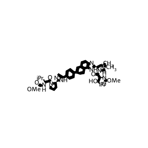 COC(=O)N[C@H](C(=O)N1CCC[C@H]1c1ncc(-c2ccc(-c3ccc4c(ccc5nc([C@@H]6C[Si](C)(C)CN6C(=O)[C@@H](NC(=O)OC)[C@H](O)C(C)C)[nH]c54)c3)cc2)[nH]1)C(C)C